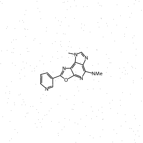 CNc1nc2oc(-c3cccnc3)nc2c2c1ncn2C